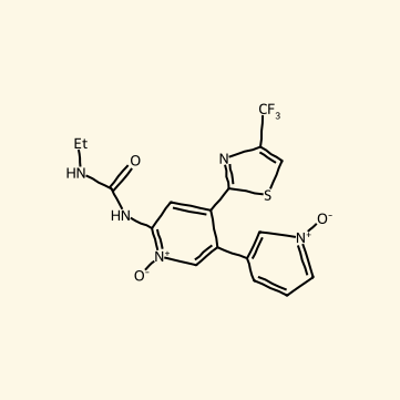 CCNC(=O)Nc1cc(-c2nc(C(F)(F)F)cs2)c(-c2ccc[n+]([O-])c2)c[n+]1[O-]